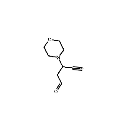 [C]#CC(CC=O)N1CCOCC1